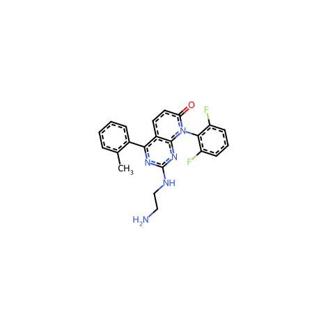 Cc1ccccc1-c1nc(NCCN)nc2c1ccc(=O)n2-c1c(F)cccc1F